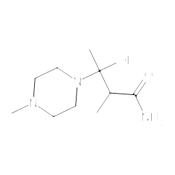 CC(C(N)=O)C(C)(O)N1CCN(C)CC1